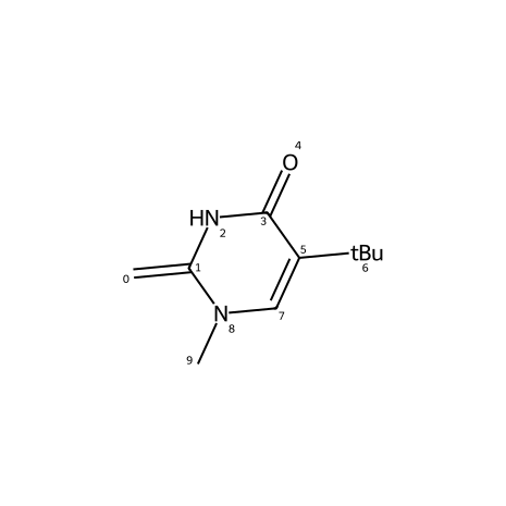 C=C1NC(=O)C(C(C)(C)C)=CN1C